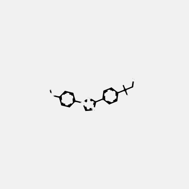 NCC(F)(F)c1ccc(-c2ncn(-c3ccc(OC(F)(F)F)cc3)n2)cc1